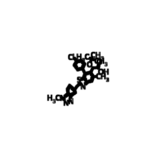 Cc1cc2nc(-c3ccc4c(c3)nnn4C)sc2c(-c2ccc(Cl)cc2)c1[C@H](OC(C)(C)C)C(=O)O